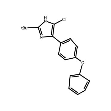 CC(C)(C)c1nc(-c2ccc(Oc3ccccc3)cc2)c(Cl)[nH]1